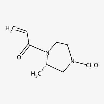 C=CC(=O)N1CCN(C=O)C[C@@H]1C